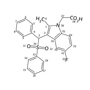 Cc1c(C(c2ccccc2)S(=O)(=O)c2ccccc2)c2cc(F)ccc2n1CC(=O)O